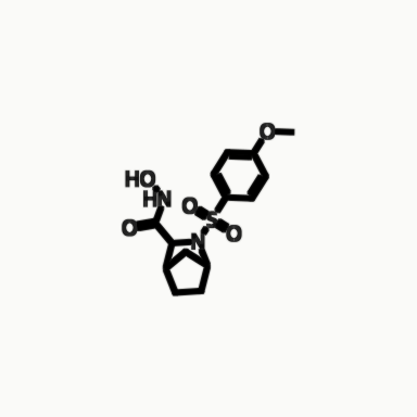 COc1ccc(S(=O)(=O)N2C3CCC(C3)C2C(=O)NO)cc1